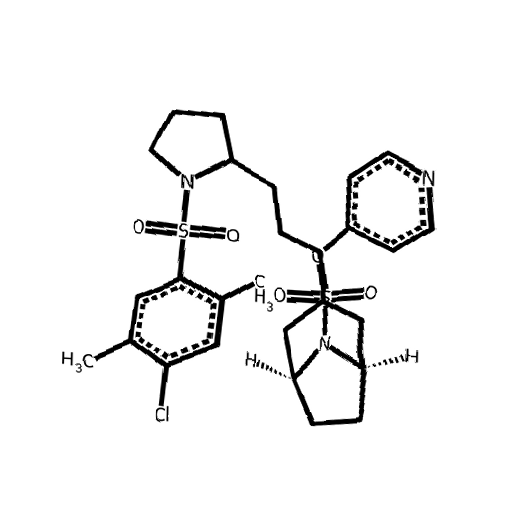 Cc1cc(S(=O)(=O)N2CCCC2CCCS(=O)(=O)N2[C@@H]3CC[C@H]2CC(Oc2ccncc2)C3)c(C)cc1Cl